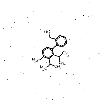 CC(C)c1c([SiH3])ccc(-c2ccccc2CO)c1C(C)C